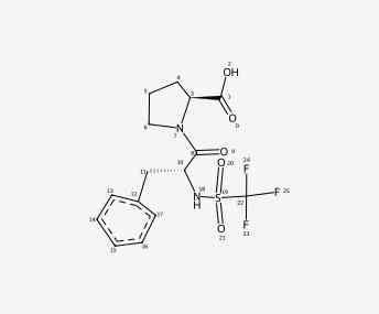 O=C(O)[C@@H]1CCCN1C(=O)[C@@H](Cc1ccccc1)NS(=O)(=O)C(F)(F)F